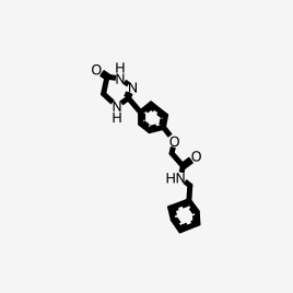 O=C(COc1ccc(C2=NNC(=O)CN2)cc1)NCc1ccccc1